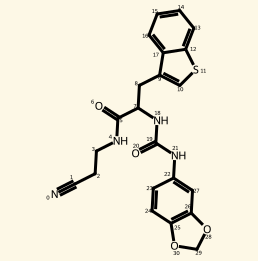 N#CCCNC(=O)C(Cc1csc2ccccc12)NC(=O)Nc1ccc2c(c1)OCO2